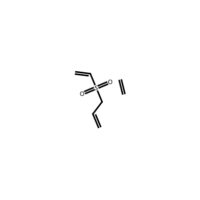 C=C.C=CCS(=O)(=O)C=C